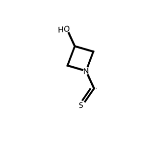 OC1CN([C]=S)C1